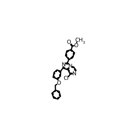 COC(=O)c1ccc(-c2nc(-c3cccc(OCc4ccccc4)c3)c3c(Cl)nccn23)cc1